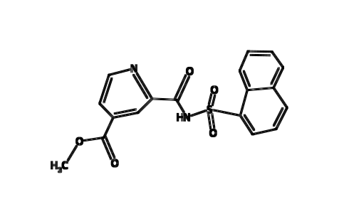 COC(=O)c1ccnc(C(=O)NS(=O)(=O)c2cccc3ccccc23)c1